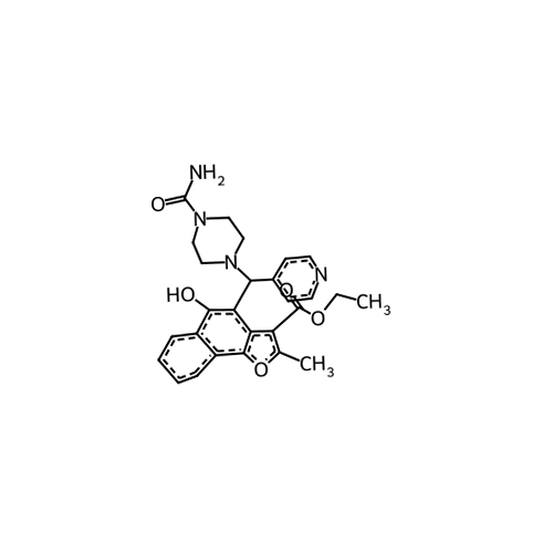 CCOC(=O)c1c(C)oc2c1c(C(c1ccncc1)N1CCN(C(N)=O)CC1)c(O)c1ccccc12